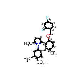 Cc1cc(-n2c(C)ccc2-c2cc(C(F)(F)F)ccc2OCc2ccc(F)cc2F)ccc1C(=O)O